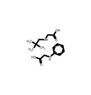 CC(C)(C)CNCC(=O)O.O=C(O)CNc1ccccc1